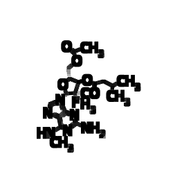 CNc1nc(N)nc2c1ncn2[C@@H]1O[C@H](COC(C)=O)[C@@H](OC(=O)CC(C)C)[C@@]1(C)F